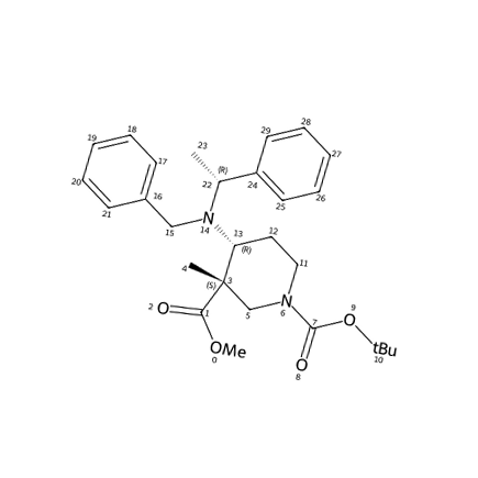 COC(=O)[C@@]1(C)CN(C(=O)OC(C)(C)C)CC[C@H]1N(Cc1ccccc1)[C@H](C)c1ccccc1